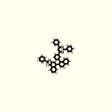 c1ccc(-c2cc(-c3cccc(-c4c(-c5cc6nc(-c7ccccc7)oc6c6ccccc56)ccc5ccccc45)c3)nc(-c3ccccc3)n2)cc1